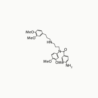 COc1ccc(CCCNCCCN(C(=O)c2ccc(N)cc2)c2ccc(OC)c(OC)c2)cc1OC